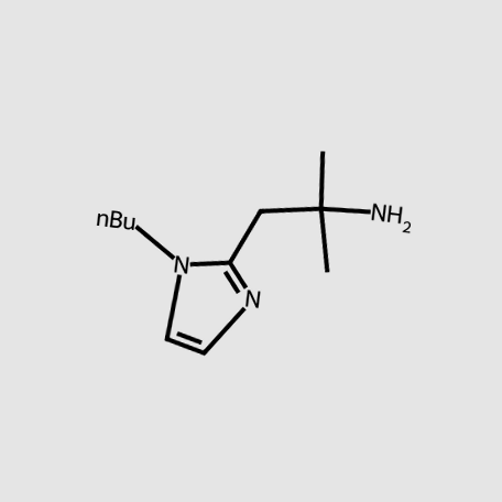 CCCCn1ccnc1CC(C)(C)N